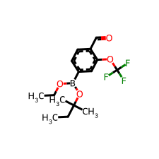 CCOB(OC(C)(C)CC)c1ccc(C=O)c(OC(F)(F)F)c1